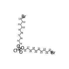 O=P(Cl)(OCCCCCCCCCCBr)OCCCCCCCCCCBr